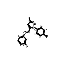 Cc1cc(COc2cccc(F)c2)n(-c2ccc(F)cc2)n1